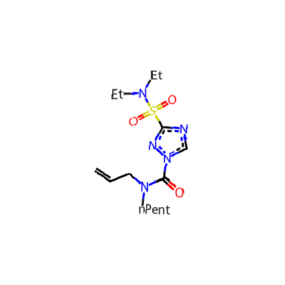 C=CCN(CCCCC)C(=O)n1cnc(S(=O)(=O)N(CC)CC)n1